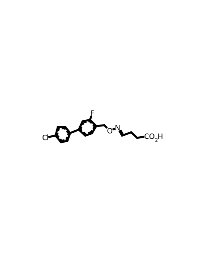 O=C(O)CCC=NOCc1ccc(-c2ccc(Cl)cc2)cc1F